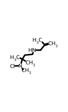 C=C(C)CNCCC(C)(C)N(C)Cl